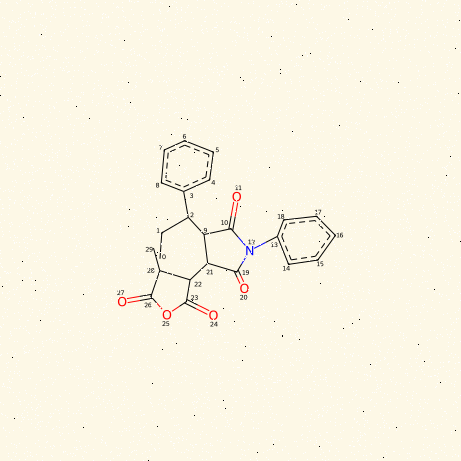 CCC(c1ccccc1)C1C(=O)N(c2ccccc2)C(=O)C1C1C(=O)OC(=O)C1C